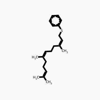 CC(C)=CCCC(C)=CCCC(C)=CCSc1ccccc1